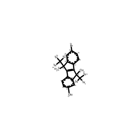 [2H]C([2H])([2H])C1(C)C2=C(c3ccc(O)cc31)C(C)(C([2H])([2H])[2H])c1cc(Br)ccc12